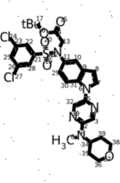 CN(c1cnc(-n2ccc3cc(N(CC(=O)OC(C)(C)C)S(=O)(=O)c4cc(Cl)cc(Cl)c4)ccc32)cn1)C1CCOCC1